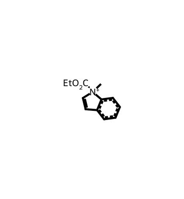 CCOC(=O)[N@@+]1(C)C=Cc2ccccc21